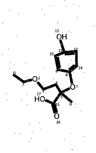 CCOCCC(C)(Oc1ccc(O)cc1)C(=O)O